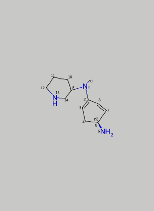 CN(C1=CC[C@H](N)C=C1)C1CCCNC1